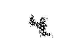 Nc1cc(F)c(F)c(-c2cc(OI)c3c(N4CCNCC4)nc(OC[C@@]45CCCN4C[C@H](F)C5)nc3c2F)c1